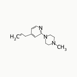 C=CCc1ccnc(N2CCN(C)CC2)c1